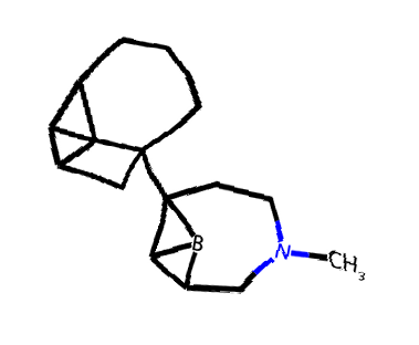 CN1CCC2(C34CCCC5C6C(C3)C564)B3C(C1)C32